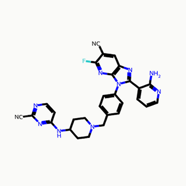 N#Cc1nccc(NC2CCN(Cc3ccc(-n4c(-c5cccnc5N)nc5cc(C#N)c(F)nc54)cc3)CC2)n1